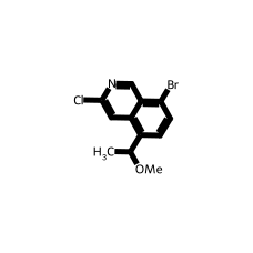 COC(C)c1ccc(Br)c2cnc(Cl)cc12